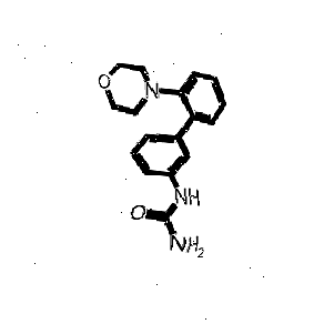 NC(=O)Nc1cccc(-c2ccccc2N2CCOCC2)c1